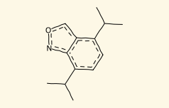 CC(C)c1ccc(C(C)C)c2nocc12